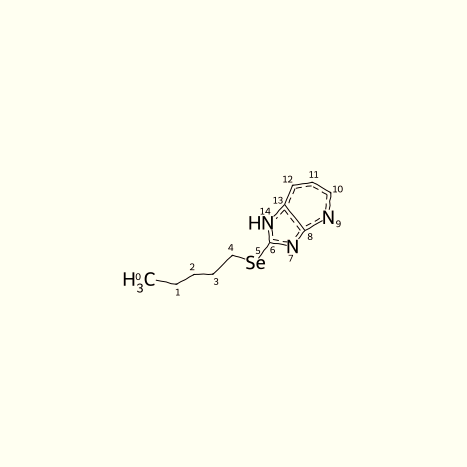 CCCCC[Se]c1nc2ncccc2[nH]1